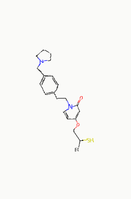 CCC(S)COc1ccn(CCc2ccc(CN3CCCC3)cc2)c(=O)c1